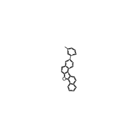 Cc1cccc(-c2ccc3c(ccc4oc5c6ccccc6ccc5c43)c2)c1